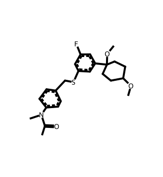 COC1CCC(OC)(c2cc(F)cc(SCc3ccc(N(C)C(C)=O)cc3)c2)CC1